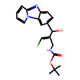 CC(C)(C)OC(=O)NCC(=CF)C(O)c1ccc2nc3ccccn3c2c1